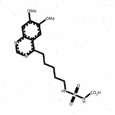 COc1cc2ncnc(CCCCCNS(=O)(=O)NC(=O)O)c2cc1OC